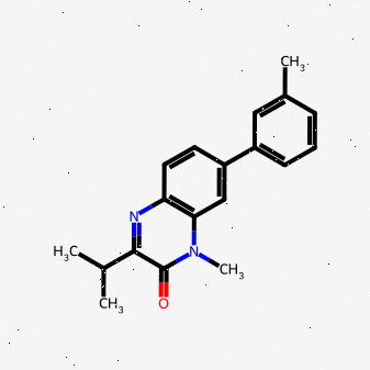 Cc1cccc(-c2ccc3nc(C(C)C)c(=O)n(C)c3c2)c1